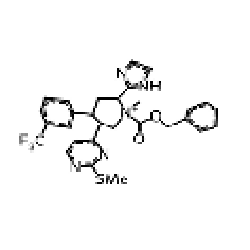 CSc1nccc(C2C[N+](C)(C(=O)OCc3ccccc3)C(c3ncc[nH]3)CC2c2cccc(C(F)(F)F)c2)n1